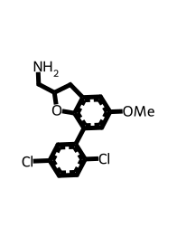 COc1cc2c(c(-c3cc(Cl)ccc3Cl)c1)OC(CN)C2